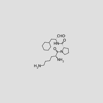 NCCCC[C@H](N)C(=O)N1CCC[C@H]1C(=O)N[C@@H]([C]=O)CC1CCCCC1